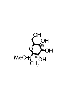 CON(C)C1OC(CO)[C@H](O)C(O)[C@@H]1O